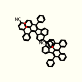 N#Cc1ccc(-c2ccccc2-c2c3c(c(-c4ccccc4)c4ccccc24)-c2cccc4c(-c5ccc6c7c(cccc57)-c5c-6c(-c6ccccc6-c6ccc(C#N)cc6)c6ccccc6c5-c5ccccc5)ccc-3c24)cc1